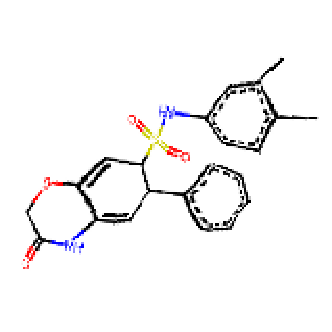 Cc1ccc(NS(=O)(=O)C2C=C3OCC(=O)NC3=CC2c2ccccc2)cc1C